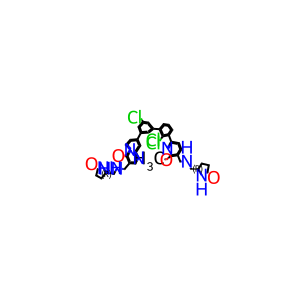 COc1nc(-c2cccc(-c3cc(Cl)cc(-c4ccn5c(=O)c(CNC[C@H]6CCC(=O)N6)cnc5c4)c3Cl)c2Cl)ccc1CNC[C@H]1CCC(=O)N1